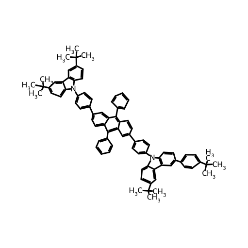 CC(C)(C)c1ccc(-c2ccc3c(c2)c2cc(C(C)(C)C)ccc2n3-c2ccc(-c3ccc4c(-c5ccccc5)c5cc(-c6ccc(-n7c8ccc(C(C)(C)C)cc8c8cc(C(C)(C)C)ccc87)cc6)ccc5c(-c5ccccc5)c4c3)cc2)cc1